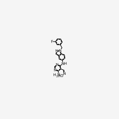 Nc1ncnc(Nc2ccc3c(cnn3Cc3cccc(F)c3)c2)c1/C=N\O